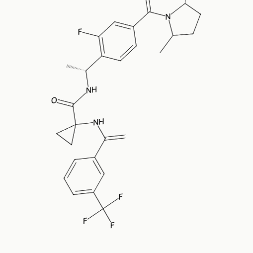 C=C(NC1(C(=O)N[C@H](C)c2ccc(C(=O)N3C(C)CCC3C)cc2F)CC1)c1cccc(C(F)(F)F)c1